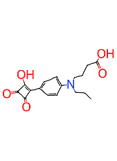 CCCN(CCCC(=O)O)c1ccc(-c2c(O)c(=O)c2=O)cc1